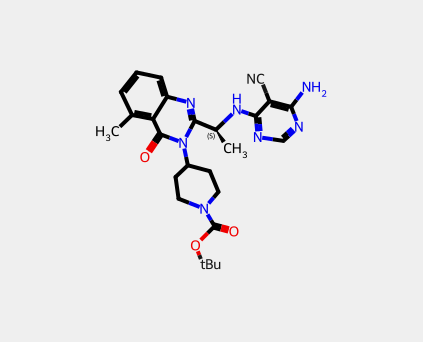 Cc1cccc2nc([C@H](C)Nc3ncnc(N)c3C#N)n(C3CCN(C(=O)OC(C)(C)C)CC3)c(=O)c12